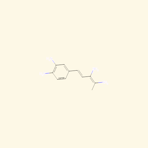 C/C(N)=C(N)\C=C\c1ccc(N)c(N)c1